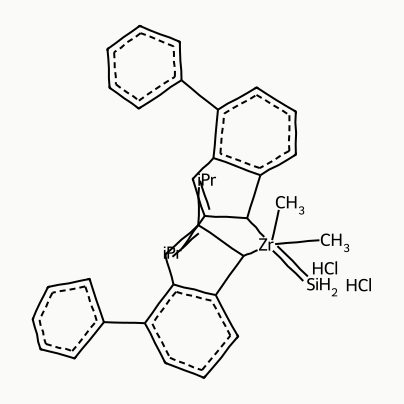 CC(C)C1=Cc2c(-c3ccccc3)cccc2[CH]1[Zr]([CH3])([CH3])(=[SiH2])[CH]1C(C(C)C)=Cc2c(-c3ccccc3)cccc21.Cl.Cl